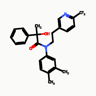 Cc1ccc(N(CCc2ccc(C(F)(F)F)nc2)C(=O)C(C)(O)c2ccccc2)cc1C